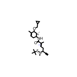 C#CC(C/C=C(\C)C(=O)NC1CC=C(C)C(OCC2CC2)[C@@H]1C)N(C)SC(C)(C)C